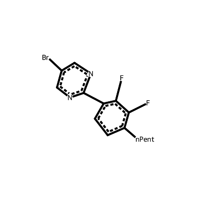 CCCCCc1ccc(-c2ncc(Br)cn2)c(F)c1F